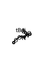 C[C@@H](CCn1cc(-c2nn(C3CCCCO3)c3ccc(O[Si](C)(C)C(C)(C)C)cc23)cn1)OCCCOCc1ccccc1